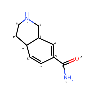 NC(=O)C1=CC2CNCCC2C=C1